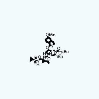 C=CC1C[C@]1(NC(=O)[C@@H]1C[C@@H](Oc2nccc3cc(OC)ccc23)CN1CC([C@@H](C)CC)N(C)C(=O)OC(C)(C)C)C(=O)NS(=O)(=O)C1CC1